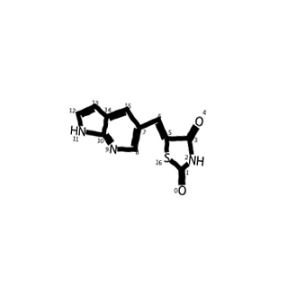 O=C1NC(=O)/C(=C/c2cnc3[nH]ccc3c2)S1